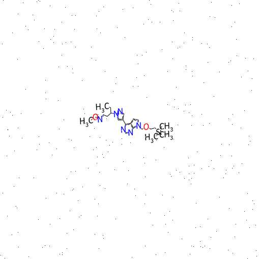 CCC(CC=NOC)n1cc(-c2ncnc3c2ccn3COCC[Si](C)(C)C)cn1